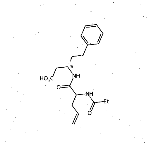 C=CCC(NC(=O)CC)C(=O)N[C@@H](CCc1ccccc1)CC(=O)O